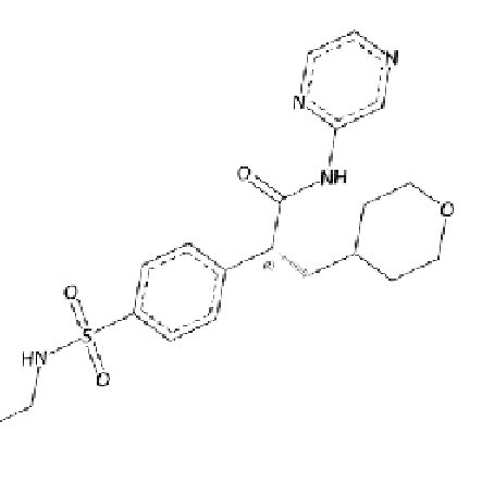 CCNS(=O)(=O)c1ccc([C@@H](CC2CCOCC2)C(=O)Nc2cnccn2)cc1